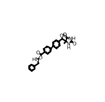 CC1(C(O)c2ccc(-c3ccc(C(=O)ONCc4ccccc4)cc3)cc2)NC(=O)NC1=O